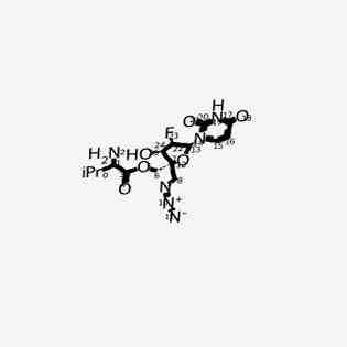 CC(C)C(N)C(=O)OC[C@@]1(CN=[N+]=[N-])O[C@@H](n2ccc(=O)[nH]c2=O)[C@H](F)[C@@H]1O